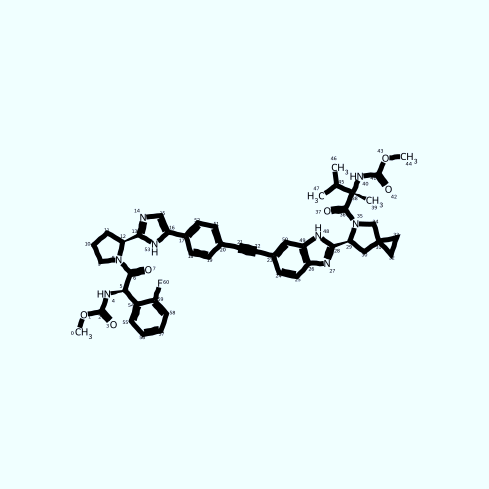 COC(=O)N[C@@H](C(=O)N1CCC[C@H]1c1ncc(-c2ccc(C#Cc3ccc4nc([C@@H]5CC6(CC6)CN5C(=O)[C@@](C)(NC(=O)OC)C(C)C)[nH]c4c3)cc2)[nH]1)c1ccccc1F